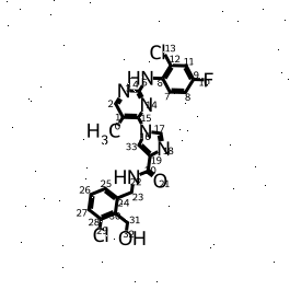 Cc1cnc(Nc2ccc(F)cc2Cl)nc1-n1cnc(C(=O)NCc2cccc(Cl)c2CO)c1